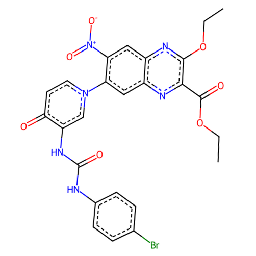 CCOC(=O)c1nc2cc(-n3ccc(=O)c(NC(=O)Nc4ccc(Br)cc4)c3)c([N+](=O)[O-])cc2nc1OCC